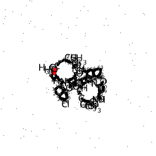 C[C@@H]1[C@@H](C)CCC[C@](C)(O)[C@@H]2CC[C@H]2CN2C[C@@]3(CCCc4cc(Cl)ccc43)COc3c(O[C@]4(C)CCC[C@H](C)[C@@H](C)S(=O)(=O)NC(=O)c5ccc6c(c5)N(C[C@@H]5CC[C@H]54)C[C@@]4(CCCc5cc(Cl)ccc54)CO6)cc(cc32)C(=O)NS1(=O)=O